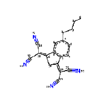 CCCCc1ccc2c(c1)C(=C(C#N)C#N)CC2=C(C#N)C#N